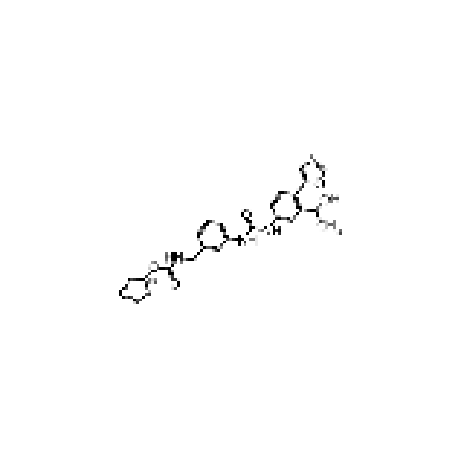 CC(O)c1cc(NC(=O)Nc2cccc(CNC(=O)O[C@H]3CCOC3)c2)ccc1-c1cnco1